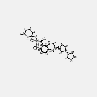 C[C@H]1CCC[C@@](O)(CNC(=O)c2c(Cl)ccc3nc(N4CCC(N5CCCC5)C4)ccc23)C1